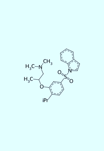 CC(CN(C)C)Oc1cc(S(=O)(=O)n2ccc3ccccc32)ccc1C(C)C